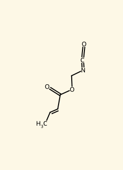 CC=CC(=O)OCN=C=O